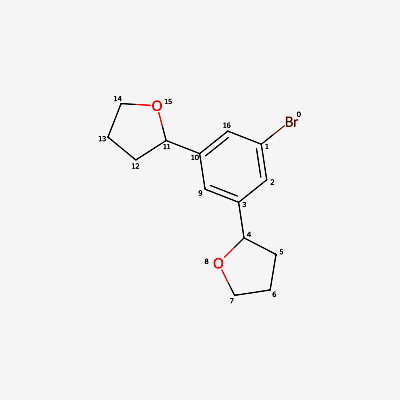 Brc1cc(C2CCCO2)cc(C2CCCO2)c1